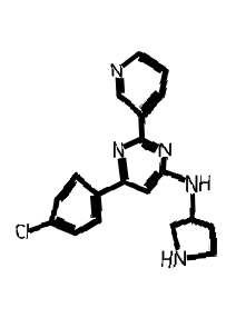 Clc1ccc(-c2cc(NC3CCNC3)nc(-c3cccnc3)n2)cc1